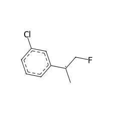 C[C](CF)c1cccc(Cl)c1